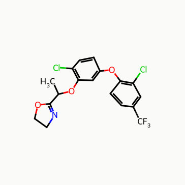 CC(Oc1cc(Oc2ccc(C(F)(F)F)cc2Cl)ccc1Cl)C1=NCCO1